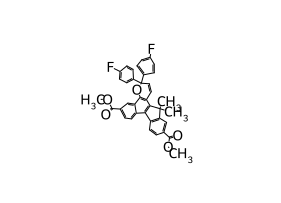 COC(=O)c1ccc2c(c1)C(C)(C)c1c3c(c4cc(C(=O)OC)ccc4c1-2)OC(c1ccc(F)cc1)(c1ccc(F)cc1)C=C3